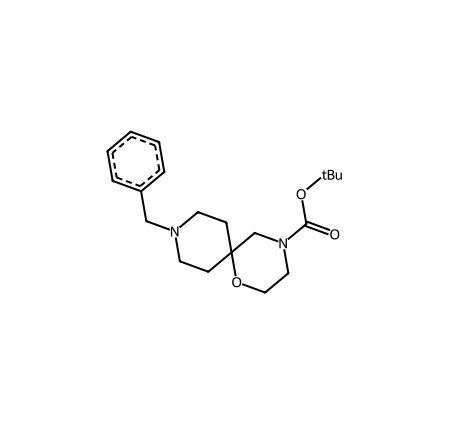 CC(C)(C)OC(=O)N1CCOC2(CCN(Cc3ccccc3)CC2)C1